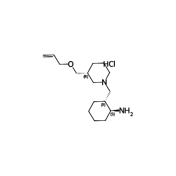 C=CCOC[C@@H]1CCCN(C[C@H]2CCCC[C@@H]2N)C1.Cl